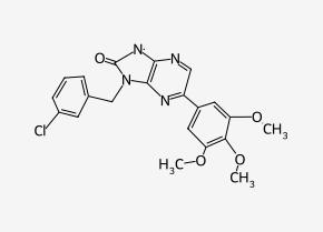 COc1cc(-c2cnc3c(n2)N(Cc2cccc(Cl)c2)C(=O)[N]3)cc(OC)c1OC